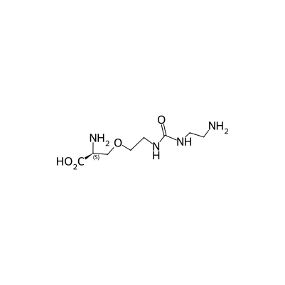 NCCNC(=O)NCCOC[C@H](N)C(=O)O